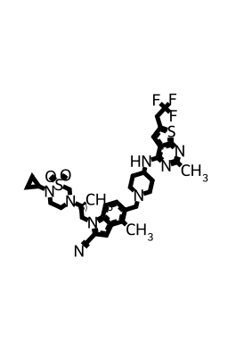 Cc1nc(NC2CCN(Cc3ccc4c(cc(C#N)n4C[C@H](C)N4CCN(C5CC5)S(=O)(=O)C4)c3C)CC2)c2cc(CC(F)(F)F)sc2n1